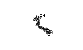 O=C1CCC(N2Cc3cc(N4CCN(CCCC(F)(F)COc5ccc([C@@H]6c7ccc(O)cc7CC[C@@H]6c6ccccc6)cc5)CC4)ccc3C2=O)C(O)N1